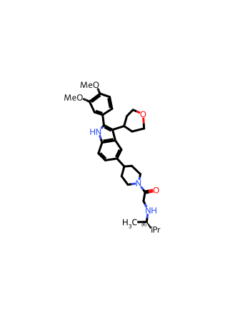 COc1ccc(-c2[nH]c3ccc(C4CCN(C(=O)CN[C@H](C)C(C)C)CC4)cc3c2C2CCOCC2)cc1OC